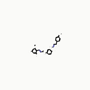 COc1ccc(C(=O)/C=C/Nc2cc(NC(=O)/C=C/c3c(OC)cc(OC)cc3OC)ccc2OC)cc1